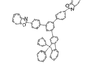 c1ccc(C2(c3ccccc3)c3ccccc3-c3ccc(-c4cc(-c5ccc(-c6nc7ccccc7o6)cc5)cc(-c5ccc(-c6nc7ccccc7o6)cc5)c4)cc32)cc1